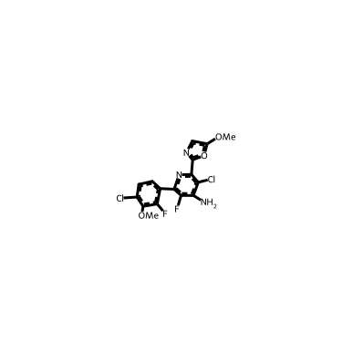 COc1cnc(-c2nc(-c3ccc(Cl)c(OC)c3F)c(F)c(N)c2Cl)o1